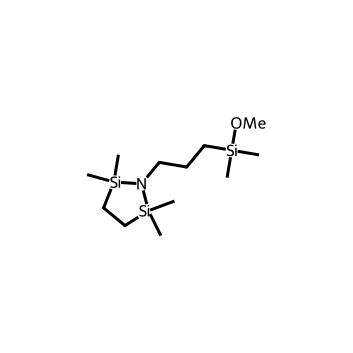 CO[Si](C)(C)CCCN1[Si](C)(C)CC[Si]1(C)C